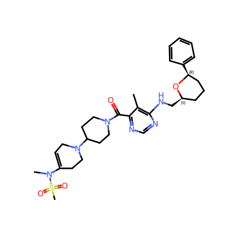 Cc1c(NC[C@@H]2CCC[C@H](c3ccccc3)O2)ncnc1C(=O)N1CCC(N2CC=C(N(C)S(C)(=O)=O)CC2)CC1